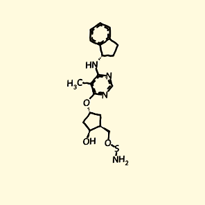 Cc1c(N[C@H]2CCc3ccccc32)ncnc1O[C@@H]1C[C@@H](COSN)[C@@H](O)C1